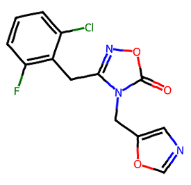 O=c1onc(Cc2c(F)cccc2Cl)n1Cc1cnco1